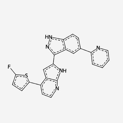 Fc1ccc(-c2ccnc3[nH]c(-c4n[nH]c5ccc(-c6ccccn6)cc45)cc23)s1